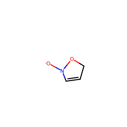 [O]N1C=CCO1